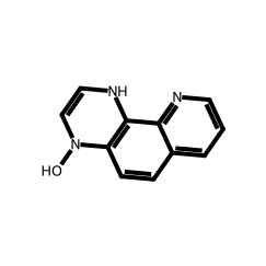 ON1C=CNc2c1ccc1cccnc21